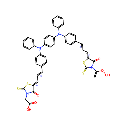 C=C(OO)N1C(=O)/C(=C/C=C/c2ccc(N(c3ccccc3)c3ccc(N(c4ccccc4)c4ccc(/C=C/C=C5\SC(=S)N(CC(=O)O)C5=O)cc4)cc3)cc2)SC1=S